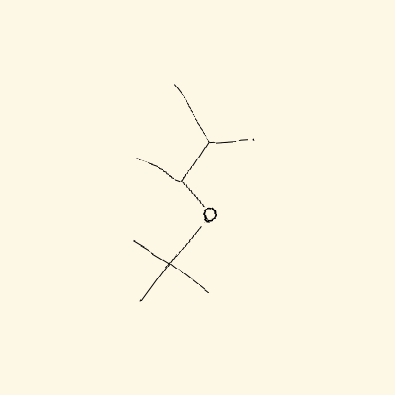 [CH2]C(C)C(C)OC(C)(C)C